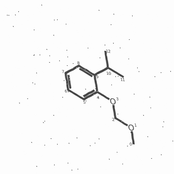 COCOc1c[c]ccc1C(C)C